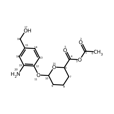 CC(=O)OC(=O)C1CCCC(Oc2ccc(CO)cc2N)O1